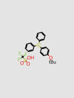 CC(C)(C)Oc1ccc([S+](c2ccccc2)c2ccccc2)cc1.O=S(=O)(O)C(F)(F)F